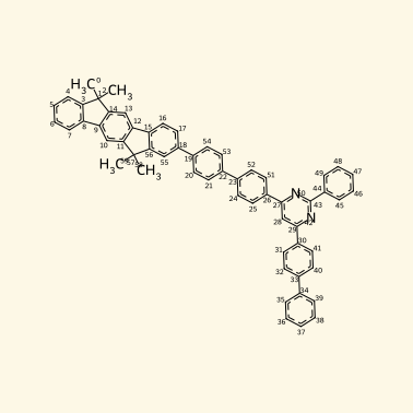 CC1(C)c2ccccc2-c2cc3c(cc21)-c1ccc(-c2ccc(-c4ccc(-c5cc(-c6ccc(-c7ccccc7)cc6)nc(-c6ccccc6)n5)cc4)cc2)cc1C3(C)C